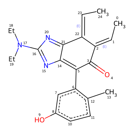 C/C=C1/C(=O)C(c2cc(O)ccc2C)=C2N=C(N(CC)CC)N=C2/C1=C/C